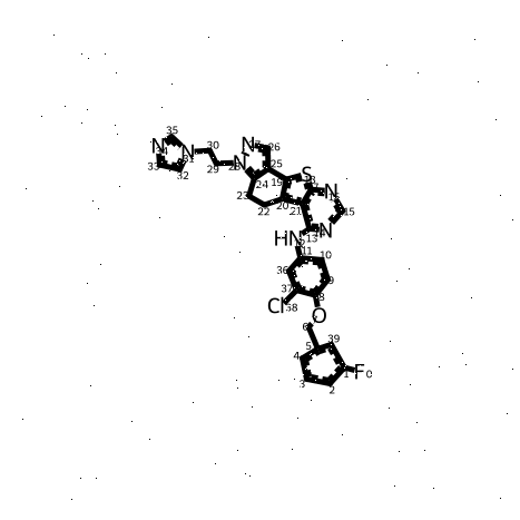 Fc1cccc(COc2ccc(Nc3ncnc4sc5c(c34)CCc3c-5cnn3CCn3ccnc3)cc2Cl)c1